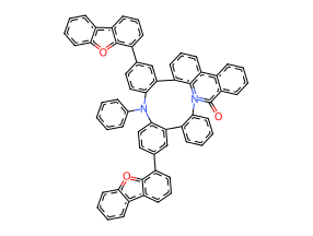 O=c1c2ccccc2c2cccc3c2n1-c1ccccc1-c1cc(-c2cccc4c2oc2ccccc24)ccc1N(c1ccccc1)c1ccc(-c2cccc4c2oc2ccccc24)cc1-3